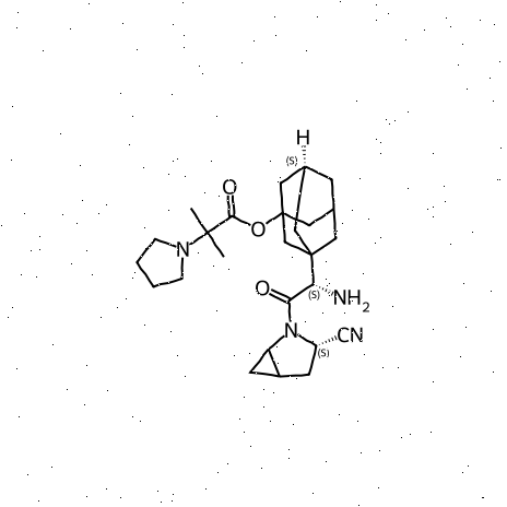 CC(C)(C(=O)OC12CC3C[C@H](C1)CC([C@H](N)C(=O)N1C4CC4C[C@H]1C#N)(C3)C2)N1CCCC1